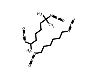 CC(CCCCC(C)(C)N=C=O)N=C=O.O=C=NCCCCCCN=C=O